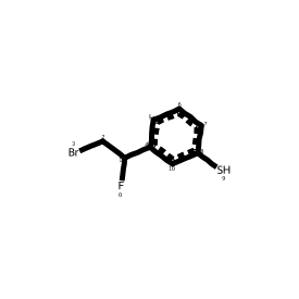 FC(CBr)c1cccc(S)c1